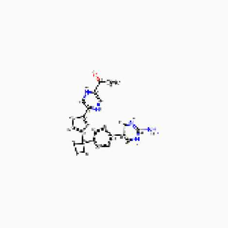 COC(=O)c1cnc(C2=CC(C3(c4ccc(-c5cnc(N)nc5)cc4)CCC3)=CC2)cn1